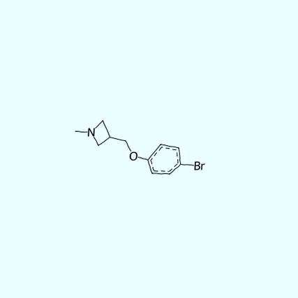 CN1CC(COc2ccc(Br)cc2)C1